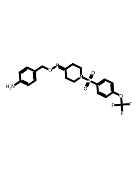 Nc1ccc(CON=C2CCN(S(=O)(=O)c3ccc(OC(F)(F)F)cc3)CC2)cc1